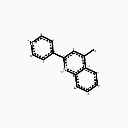 Cc1cc(-c2ccncc2)nc2ccccc12